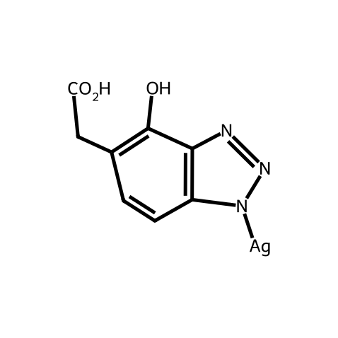 O=C(O)Cc1ccc2c(nn[n]2[Ag])c1O